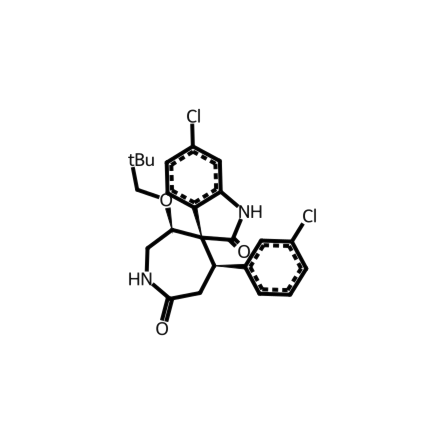 CC(C)(C)CO[C@@H]1CNC(=O)C[C@H](c2cccc(Cl)c2)[C@@]12C(=O)Nc1cc(Cl)ccc12